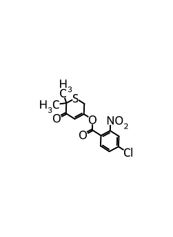 CC1(C)SCC(OC(=O)c2ccc(Cl)cc2[N+](=O)[O-])=CC1=O